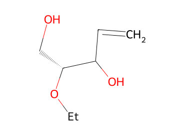 C=CC(O)[C@@H](CO)OCC